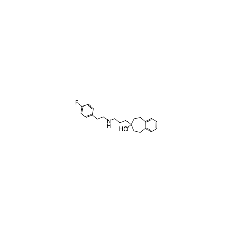 OC1(CCCNCCc2ccc(F)cc2)CCc2ccccc2CC1